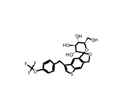 OC[C@H]1O[C@]2(OCc3cc4scc(Cc5ccc(OC(F)(F)F)cc5)c4cc32)[C@H](O)[C@@H](O)[C@@H]1O